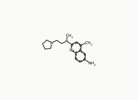 Cc1cc(N(C)CCN2CCCC2)nc2ccc(N)cc12